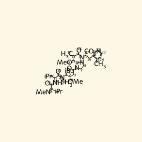 CCC(C)C(C(CC(=O)N1CCC[C@H]1C(OC)C(C)C(=O)NC(Cc1ccccc1C)C(=O)O)OC)N(C)C(=O)C(NC(=O)C(NC)C(C)C)C(C)C